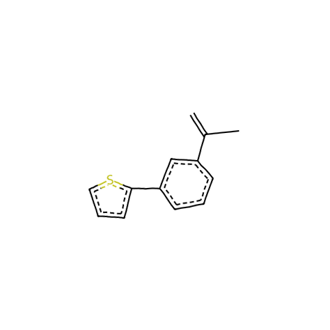 C=C(C)c1cccc(-c2cccs2)c1